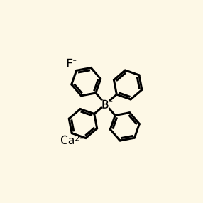 [Ca+2].[F-].c1ccc([B-](c2ccccc2)(c2ccccc2)c2ccccc2)cc1